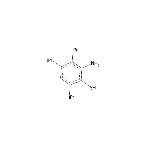 CC(C)c1cc(C(C)C)c(C(C)C)c(N)c1S